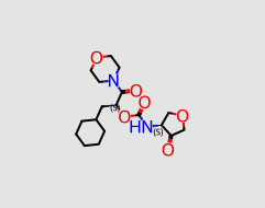 O=C(N[C@H]1COCC1=O)O[C@@H](CC1CCCCC1)C(=O)N1CCOCC1